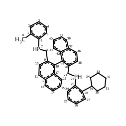 Cc1ccccc1PCc1ccc2ccccc2c1-c1c(CPc2ccccc2C2CCCCC2)ccc2ccccc12